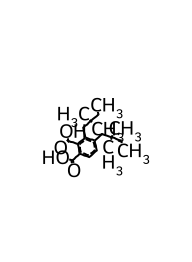 CCC(C)(C)Cc1ccc(C(=O)O)c(C(=O)O)c1CC(C)(C)CC